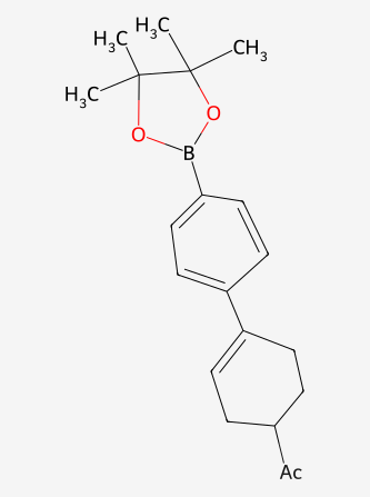 CC(=O)C1CC=C(c2ccc(B3OC(C)(C)C(C)(C)O3)cc2)CC1